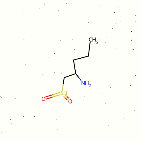 [CH2]CCC(N)C[SH](=O)=O